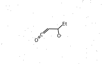 CCC([O])C=C=O